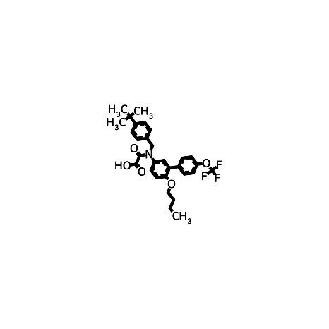 CCCCOc1ccc(N(Cc2ccc(C(C)(C)C)cc2)C(=O)C(=O)O)cc1-c1ccc(OC(F)(F)F)cc1